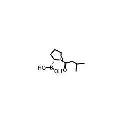 CC(C)CC(=O)N1CCC[C@H]1B(O)O